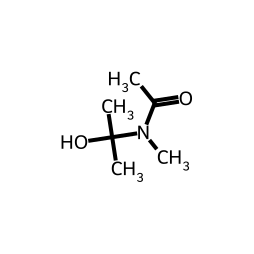 CC(=O)N(C)C(C)(C)O